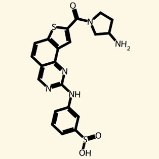 NC1CCN(C(=O)c2cc3c(ccc4cnc(Nc5cccc(S(=O)O)c5)nc43)s2)C1